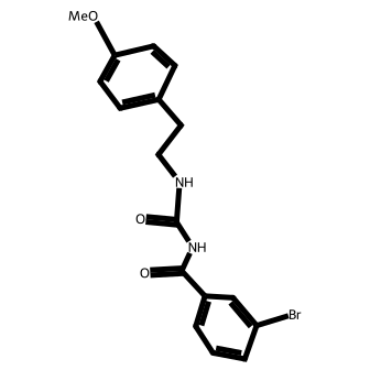 COc1ccc(CCNC(=O)NC(=O)c2cccc(Br)c2)cc1